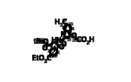 CCOC(=O)N1CCN(C(=O)C(CCC(=O)OC(C)(C)C)NC(=O)c2cc(OCC(=O)O)c3ccc(C)cc3n2)CC1